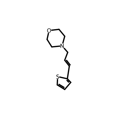 C(=Cc1cccs1)CN1CCOCC1